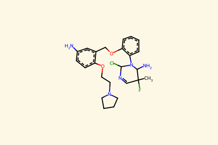 CC1(F)C=NC(Cl)N(c2ccccc2OCc2cc(N)ccc2OCCN2CCCC2)C1N